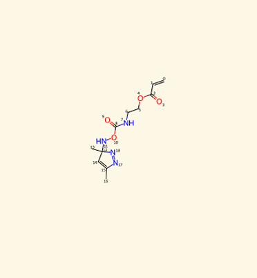 C=CC(=O)OCCNC(=O)ONC1(C)C=C(C)N=N1